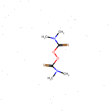 CN(C)C(=S)OOC(=S)N(C)C